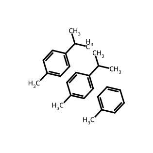 Cc1ccc(C(C)C)cc1.Cc1ccc(C(C)C)cc1.Cc1ccccc1